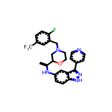 C=C(Nc1ccc2[nH]nc(-c3ccncc3)c2c1)C1CN(Cc2cc(C(F)(F)F)ccc2F)CCO1